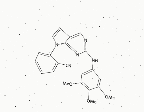 COc1cc(Nc2ncc3ccn(-c4ccccc4C#N)c3n2)cc(OC)c1OC